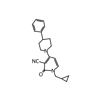 N#Cc1c(N2CCC(c3ccccc3)CC2)ccn(CC2CC2)c1=O